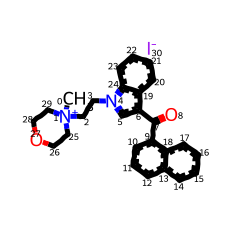 C[N+]1(CCn2cc(C(=O)c3cccc4ccccc34)c3ccccc32)CCOCC1.[I-]